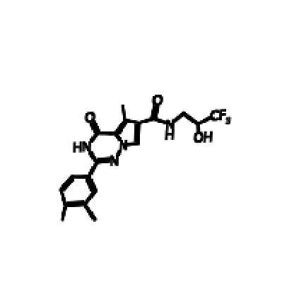 Cc1ccc(-c2nn3cc(C(=O)NCC(O)C(F)(F)F)c(C)c3c(=O)[nH]2)cc1C